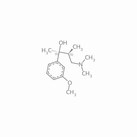 COc1cccc([C@@](C)(O)[C@@H](C)CN(C)C)c1